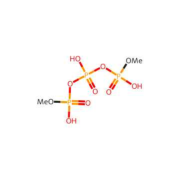 COP(=O)(O)OP(=O)(O)OP(=O)(O)OC